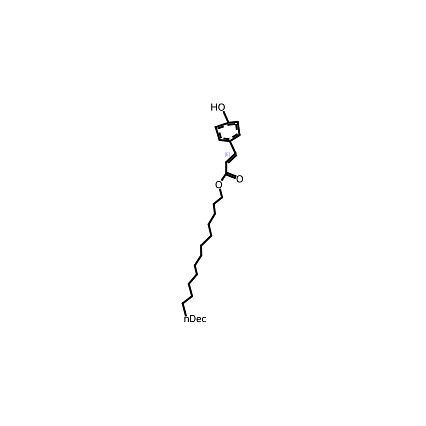 CCCCCCCCCCCCCCCCCCCCCCOC(=O)/C=C/c1ccc(O)cc1